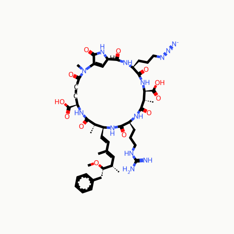 CO[C@@H](Cc1ccccc1)[C@@H](C)/C=C(C)/C=C/[C@@H]1NC(=O)[C@H](CCCNC(=N)N)NC(=O)[C@@H](C)[C@H](C(=O)O)NC(=O)[C@H](CCCN=[N+]=[N-])NC(=O)[C@H]2C=C(C(=O)N2)N(C)C(=O)CC[C@H](C(=O)O)NC(=O)[C@H]1C